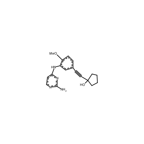 COc1ccc(C#CC2(O)CCCC2)cc1Nc1ccnc(N)n1